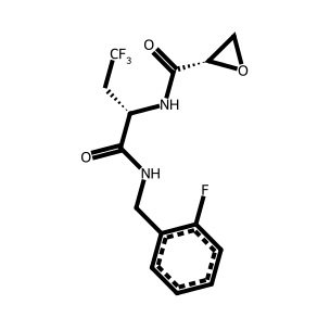 O=C(NCc1ccccc1F)[C@H](CC(F)(F)F)NC(=O)[C@@H]1CO1